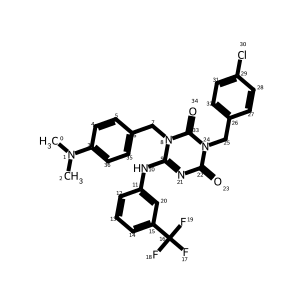 CN(C)c1ccc(Cn2c(Nc3cccc(C(F)(F)F)c3)nc(=O)n(Cc3ccc(Cl)cc3)c2=O)cc1